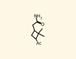 CC(=O)C1CC(CC(N)=O)C1(C)C